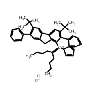 CCCC[C](CCCC)=[Zr+2]([c]1c2c(cc(C(C)(C)C)c1-c1ccccc1)-c1cc(C(C)(C)C)c(-c3ccccc3)cc1C2)[CH]1C=CC=C1.[Cl-].[Cl-]